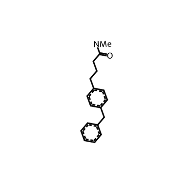 CNC(=O)CCCc1ccc(Cc2ccccc2)cc1